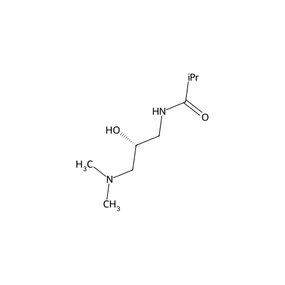 CC(C)C(=O)NC[C@@H](O)CN(C)C